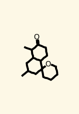 CC1CC2C(C)C(=O)CCC2C2(CCCCO2)C1